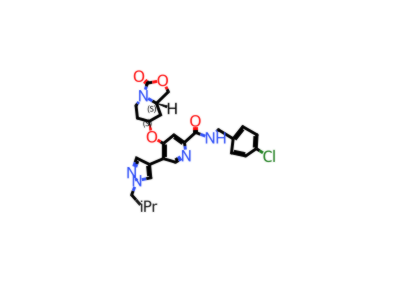 CC(C)Cn1cc(-c2cnc(C(=O)NCc3ccc(Cl)cc3)cc2O[C@H]2CCN3C(=O)OC[C@@H]3C2)cn1